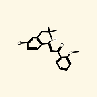 COc1ccccc1C(=O)C=C1NC(C)(C)Cc2cc(Cl)ccc21